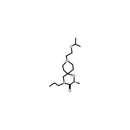 CCCN1CC2(CCN(CCOC(C)C)CC2)O[C@@H](C)C1=O